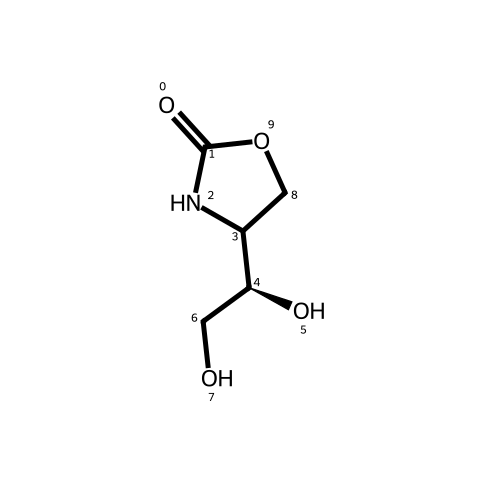 O=C1NC([C@@H](O)CO)CO1